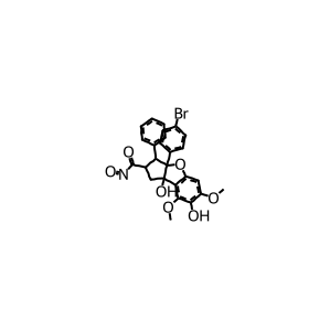 COc1cc2c(c(OC)c1O)C1(O)CC(C(=O)N=O)C(c3ccccc3)C1(c1ccc(Br)cc1)O2